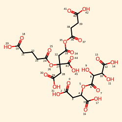 O=C(O)CC(OC(=O)C(O)C(O)C(=O)O)C(=O)O.O=C(O)CCCC(=O)OC(CC(=O)O)(CC(=O)OC(=O)CCC(=O)O)C(=O)O